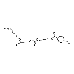 COCCCCOC(=O)CCCCC(=O)OCCCCOC(=O)c1ccc(C(C)=O)cc1